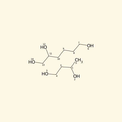 CC(O)CCO.OCCCCC(O)CO